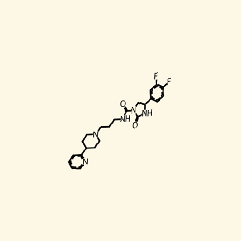 O=C(NCCCN1CCC(c2ccccn2)CC1)N1CC(c2ccc(F)c(F)c2)NC1=O